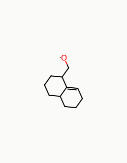 [O]CC1CCCC2CCCC=C12